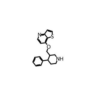 c1ccc(C2CCNCC2COc2ccnc3ccsc23)cc1